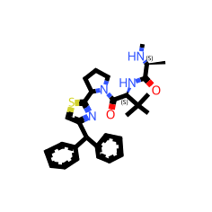 CN[C@@H](C)C(=O)N[C@H](C(=O)N1CCCC1c1nc(C(c2ccccc2)c2ccccc2)cs1)C(C)(C)C